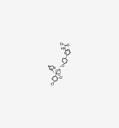 CCC(=O)Nc1nccc(-c2ccc(OC[C@@H]3CO[C@@](Cn4cncn4)(c4ccc(Cl)cc4Cl)O3)cc2)n1